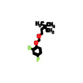 C[Si](C)(C)CCOCOc1ccc(F)cc1F